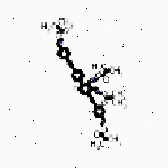 C=C(C)C(=O)O/C=C/c1ccc(C#Cc2ccc(-c3c(F)cc(C#Cc4ccc(/C=C/OC(=O)C(=C)C)cc4)c(/C=C/OC(=O)C(=C)C)c3/C=C/OC(=O)C(=C)C)cc2)cc1